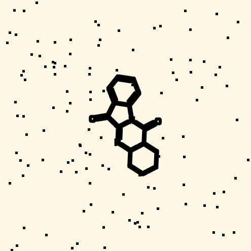 O=C1C2=NC3CCCCC3C(=O)N2c2ccccc21